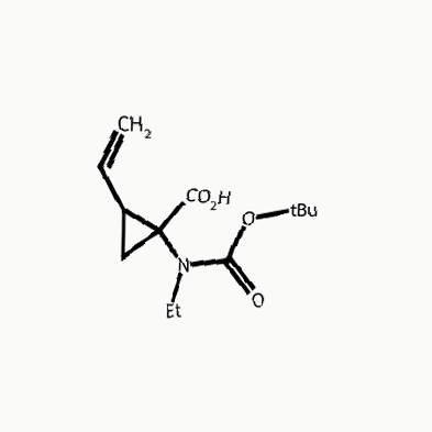 C=CC1CC1(C(=O)O)N(CC)C(=O)OC(C)(C)C